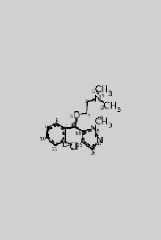 CN(C)CCOC(c1ccccc1Cl)c1ccnn1C